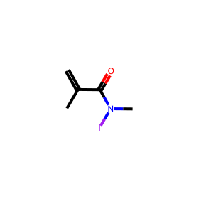 C=C(C)C(=O)N(C)I